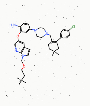 CC1(C)CCC(CN2CCN(c3ccc(N)c(Oc4cnc5c(ccn5COCC[Si](C)(C)C)c4)c3)CC2)=C(c2ccc(Cl)cc2)C1